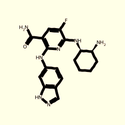 NC(=O)c1cc(F)c(N[C@@H]2CCCC[C@@H]2N)nc1Nc1ccc2cn[nH]c2c1